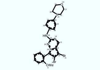 COc1ccccc1-c1c(Br)c(Br)c2cnc(Nc3ccc(N4CCOCC4)cc3)nn12